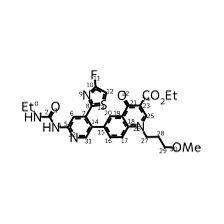 CCNC(=O)Nc1cc(-c2nc(F)cs2)c(-c2ccc3c(c2)c(=O)c(C(=O)OCC)cn3CCCOC)cn1